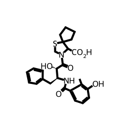 Cc1c(O)cccc1C(=O)N[C@@H](Cc1ccccc1)[C@H](O)C(=O)N1CSC2(CCCC2)C1C(=O)O